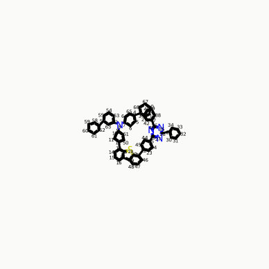 c1ccc(-c2ccc(N(c3ccc(-c4cccc5c4sc4c(-c6ccc(-c7nc(-c8ccccc8)nc(-c8ccccc8)n7)cc6)cccc45)cc3)c3cccc(-c4ccccc4)c3)cc2)cc1